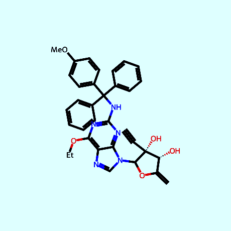 C#C[C@]1(O)C(n2cnc3c(OCC)nc(NC(c4ccccc4)(c4ccccc4)c4ccc(OC)cc4)nc32)OC(=C)[C@H]1O